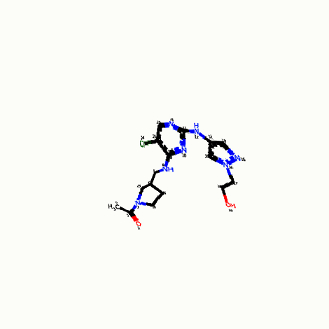 CC(=O)N1CCC(CNc2nc(Nc3cnn(CCO)c3)ncc2Cl)C1